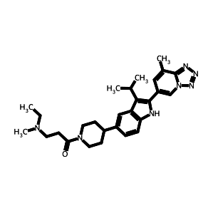 CCN(C)CCC(=O)N1CCC(c2ccc3[nH]c(-c4cc(C)c5nnnn5c4)c(C(C)C)c3c2)CC1